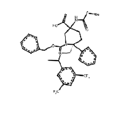 C=C(O)C1(NC(=O)OC(C)(C)C)CC[C@@](COC(C)c2cc(C(F)(F)F)cc(C(F)(F)F)c2)(c2ccccc2)N(C(=O)OCc2ccccc2)C1